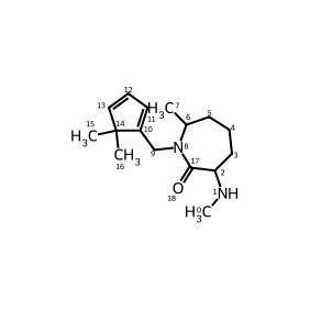 CNC1CCCC(C)N(CC2=CC=CC2(C)C)C1=O